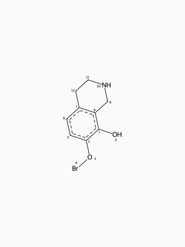 Oc1c(OBr)ccc2c1CNCC2